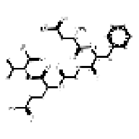 CC(C)[C@H](NC(=O)[C@H](CCC(=O)O)NC(=O)CNC(=O)[C@H](Cc1ccccc1)NC(=O)[C@@H](N)CC(N)=O)C(=O)O